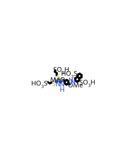 COc1cc(Nc2nc(SCCCS(=O)(=O)O)nc(SCCCS(=O)(=O)O)n2)c(OC)cc1N=Nc1cc(S(=O)(=O)O)c2cccc(S(=O)(=O)O)c2c1